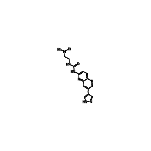 CCN(CC)CCNC(=O)Nc1ccc2ncc(-c3cn[nH]c3)cc2n1